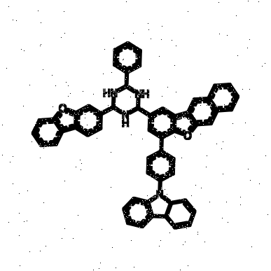 C1=CC2c3ccccc3N(c3ccc(-c4cc(C5NC(c6ccccc6)NC(c6ccc7c(c6)oc6ccccc67)N5)cc5c4oc4cc6ccccc6cc45)cc3)C2C=C1